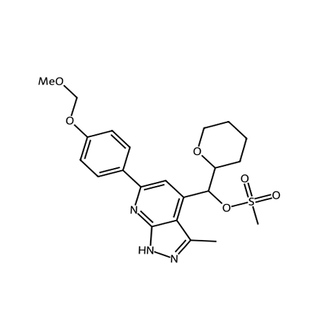 COCOc1ccc(-c2cc(C(OS(C)(=O)=O)C3CCCCO3)c3c(C)n[nH]c3n2)cc1